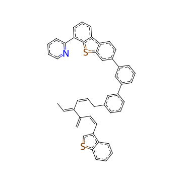 C=C(/C=C\c1csc2ccccc12)C(/C=C\Cc1cccc(-c2cccc(-c3ccc4c(c3)sc3c(-c5ccccn5)cccc34)c2)c1)=C/C